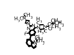 CC1CN(c2nc(N3CC(N(C)C)C3)nc3c(F)c(-c4cccc5ccn(C)c45)c(Cl)cc23)C(C)CN1C(=O)OC(C)(C)C